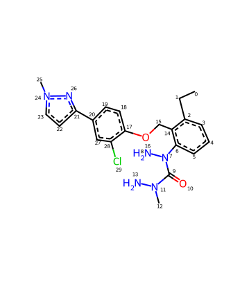 CCc1cccc(N(N)C(=O)N(C)N)c1COc1ccc(-c2ccn(C)n2)cc1Cl